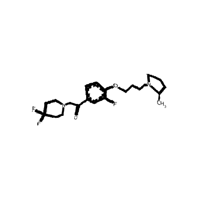 C[C@@H]1CCCN1CCCOc1ccc(C(=O)CN2CCC(F)(F)CC2)cc1F